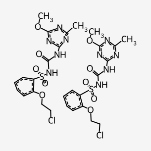 COc1nc(C)nc(NC(=O)NS(=O)(=O)c2ccccc2OCCCl)n1.COc1nc(C)nc(NC(=O)NS(=O)(=O)c2ccccc2OCCCl)n1